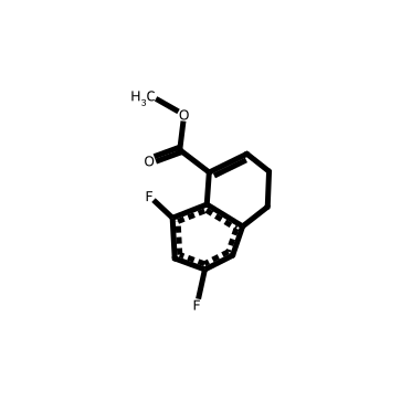 COC(=O)C1=CCCc2cc(F)cc(F)c21